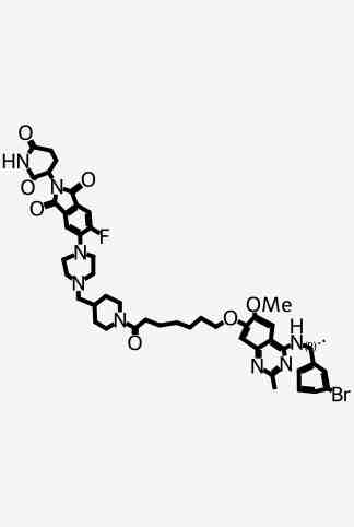 COc1cc2c(N[C@H](C)c3cccc(Br)c3)nc(C)nc2cc1OCCCCCCC(=O)N1CCC(CN2CCN(c3cc4c(cc3F)C(=O)N(C3CCC(=O)NC3=O)C4=O)CC2)CC1